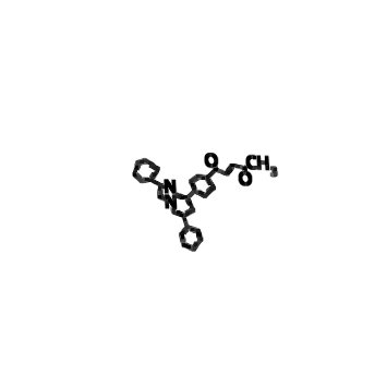 CC(=O)C=CC(=O)c1ccc(-c2cc(-c3ccccc3)cn3cc(-c4ccccc4)nc23)cc1